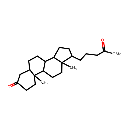 COC(=O)CCCC1CCC2C3CCC4CC(=O)CCC4(C)C3CCC12C